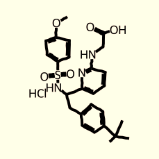 COc1ccc(S(=O)(=O)NC(Cc2ccc(C(C)(C)C)cc2)c2cccc(NCC(=O)O)n2)cc1.Cl